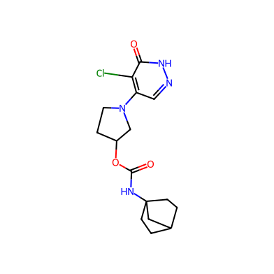 O=C(NC12CCC(CC1)C2)OC1CCN(c2cn[nH]c(=O)c2Cl)C1